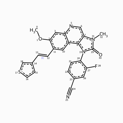 COc1cc2ncc3c(c2cc1/C=C/c1ccsc1)n(-c1ccc(C#N)cc1F)c(=O)n3C